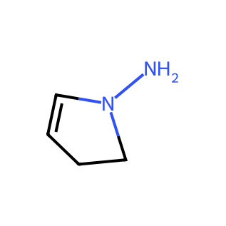 NN1C=CCC1